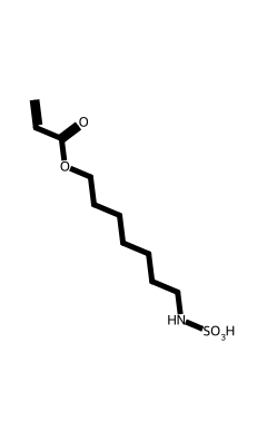 C=CC(=O)OCCCCCCCNS(=O)(=O)O